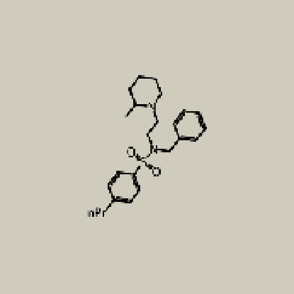 CCCc1ccc(S(=O)(=O)N(CCN2CCCCC2C)Cc2ccccc2)cc1